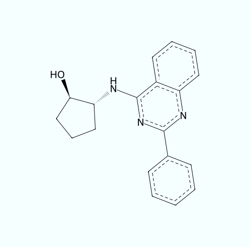 O[C@@H]1CCC[C@H]1Nc1nc(-c2ccccc2)nc2ccccc12